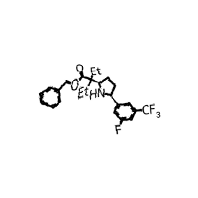 CCC(CC)(C(=O)OCc1ccccc1)[C@H]1CC[C@@H](c2cc(F)cc(C(F)(F)F)c2)N1